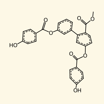 COC(=O)c1ccc(OC(=O)c2ccc(O)cc2)cc1-c1cccc(OC(=O)c2ccc(O)cc2)c1